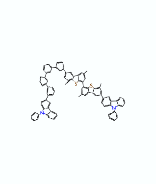 Cc1cc(-c2cc(C)cc3c2sc2c(C)cc(-c4ccc5c(c4)c4ccccc4n5-c4ccccc4)cc23)c2sc3c(C)cc(-c4cccc(-c5cccc(-c6cccc(-c7cccc(-c8ccc9c(c8)c8ccccc8n9-c8ccccc8)c7)c6)c5)c4)cc3c2c1